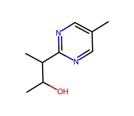 Cc1cnc(C(C)C(C)O)nc1